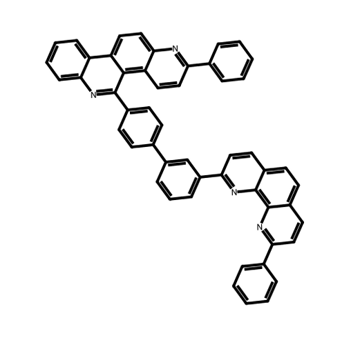 c1ccc(-c2ccc3c(ccc4c5ccccc5nc(-c5ccc(-c6cccc(-c7ccc8ccc9ccc(-c%10ccccc%10)nc9c8n7)c6)cc5)c34)n2)cc1